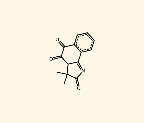 CC1(C)C(=O)N=C2c3ccccc3C(=O)C(=O)C21